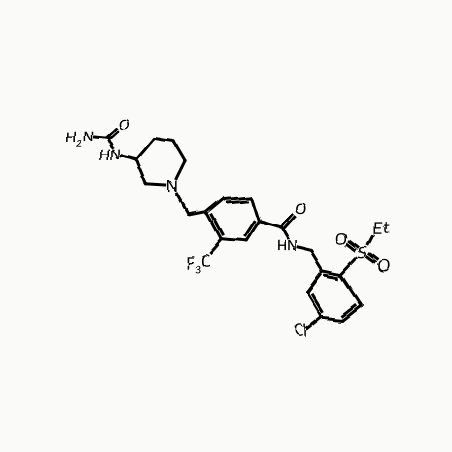 CCS(=O)(=O)c1ccc(Cl)cc1CNC(=O)c1ccc(CN2CCCC(NC(N)=O)C2)c(C(F)(F)F)c1